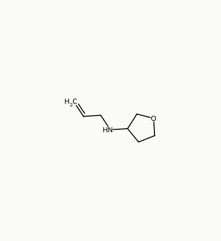 C=CCNC1CCOC1